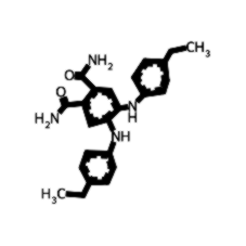 CCc1ccc(Nc2cc(C(N)=O)c(C(N)=O)cc2Nc2ccc(CC)cc2)cc1